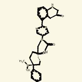 CN(C)[C@]1(c2ccccc2)CC[C@]2(CC1)CN(c1cnc(-c3cccc4c3CC(=O)CN4)nc1)C(=O)N2